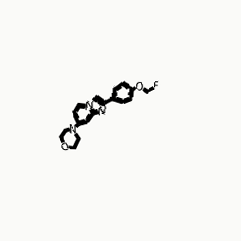 FCOc1ccc(-c2cn3ccc(N4CCOCC4)cc3n2)cc1